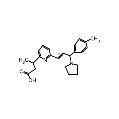 Cc1ccc(C(/C=C/c2cccc(C(C)CC(=O)O)n2)N2CCCC2)cc1